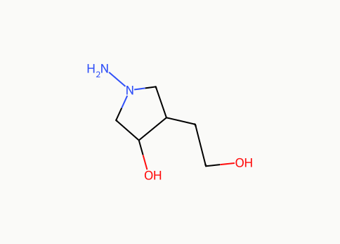 NN1CC(O)C(CCO)C1